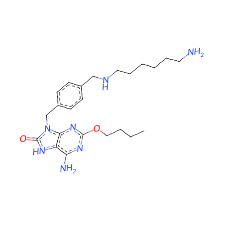 CCCCOc1nc(N)c2[nH]c(=O)n(Cc3ccc(CNCCCCCCN)cc3)c2n1